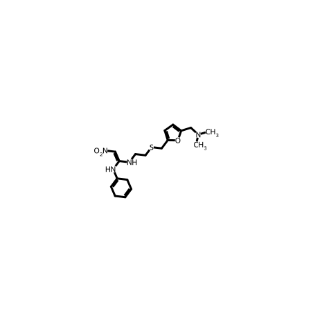 CN(C)Cc1ccc(CSCCN/C(=C/[N+](=O)[O-])NC2=CCC=CC2)o1